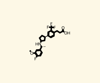 COc1cc([C@@H](C)NC2CC[C@@H](c3ccc(CCC(=O)O)c(C(F)(F)F)c3)C2)ccc1F